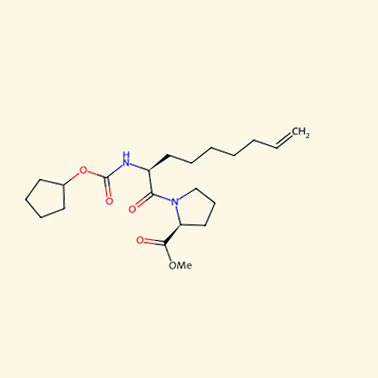 C=CCCCCC[C@H](NC(=O)OC1CCCC1)C(=O)N1CCC[C@H]1C(=O)OC